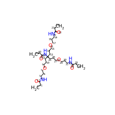 C=CC(=O)NCCCOCCCC(CCCOCCCNC(=O)C=C)(CCCOCCCNC(=O)C=C)NC(=O)C=C